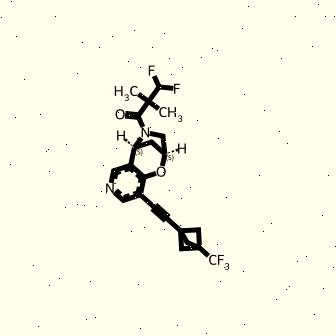 CC(C)(C(=O)N1C[C@@H]2C[C@H]1c1cncc(C#CC34CC(C(F)(F)F)(C3)C4)c1O2)C(F)F